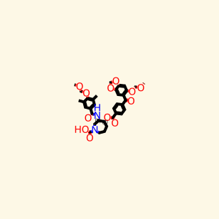 COCOc1cc2c(cc1C(=O)c1ccc(C(=O)O[C@@H]3CCCN(C(=O)O)C[C@H]3NC(=O)c3cc(C)c(OCOC)c(C)c3)cc1)OCO2